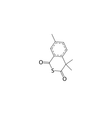 Cc1ccc2c(c1)C(=O)SC(=O)C2(C)C